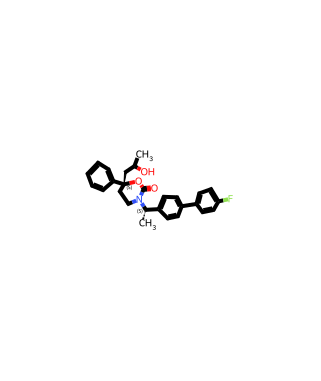 CC(O)C[C@]1(c2ccccc2)CCN([C@@H](C)c2ccc(-c3ccc(F)cc3)cc2)C(=O)O1